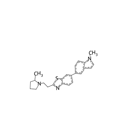 CC1CCCN1CCc1nc2ccc(-c3ccc4c(ccn4C)c3)cc2s1